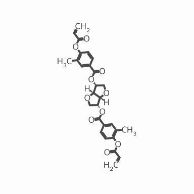 C=CC(=O)Oc1ccc(C(=O)O[C@H]2CO[C@H]3[C@@H]2OC[C@H]3OC(=O)c2ccc(OC(=O)C=C)c(C)c2)cc1C